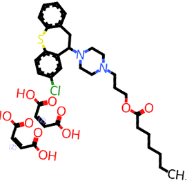 CCCCCCC(=O)OCCCN1CCN(C2Cc3ccccc3Sc3ccc(Cl)cc32)CC1.O=C(O)/C=C\C(=O)O.O=C(O)/C=C\C(=O)O